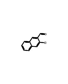 O=Cc1cc2ccccc2cc1Cl